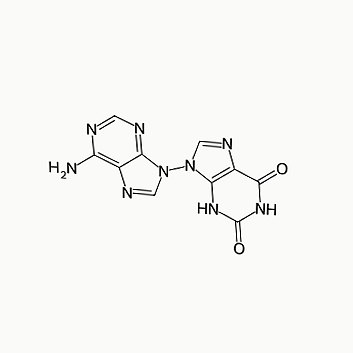 Nc1ncnc2c1ncn2-n1cnc2c(=O)[nH]c(=O)[nH]c21